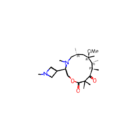 CO[C@]1(C)C[C@@H](C)CN(C)C(C2CN(C)C2)COC(=O)C(C)(C)C(=O)[C@H](C)[C@H]1C